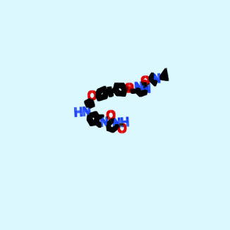 CC(C)(c1ccc(OCc2ccnc(OC3CN(C4CC4)C3)n2)cc1)c1ccc(OC2CC(Nc3ccc4c(c3)CN(C3CCC(=O)NC3=O)C4)C2)cc1